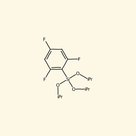 CC(C)O[Si](OC(C)C)(OC(C)C)c1c(F)cc(F)cc1F